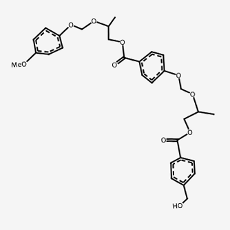 COc1ccc(OCOC(C)COC(=O)c2ccc(OCOC(C)COC(=O)c3ccc(CO)cc3)cc2)cc1